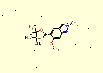 Cn1cc2cc(B3OC(C)(C)C(C)(C)O3)c(OC(F)(F)F)cc2n1